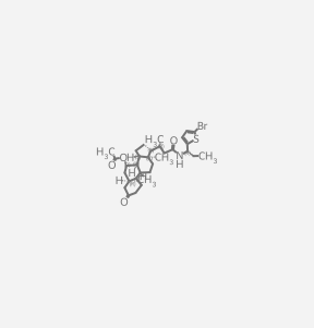 CC[C@@H](NC(=O)C[C@@H](C)[C@H]1CC[C@H]2[C@@H]3[C@H](OC(C)=O)C[C@@H]4CC(=O)CC[C@]4(C)[C@H]3CC[C@]12C)c1ccc(Br)s1